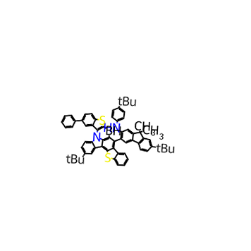 CC(C)(C)c1ccc(Nc2cc3c(cc2-c2c4c5c(c6cc(C(C)(C)C)ccc6n5-c5c(sc6ccc(-c7ccccc7)cc56)B4)c4sc5ccccc5c24)-c2ccc(C(C)(C)C)cc2C3(C)C)cc1